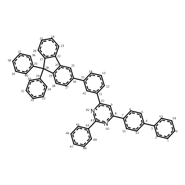 c1ccc(-c2ccc(-c3cc(-c4cccc(-c5ccc6c(c5)-c5ccccc5C6(c5ccccc5)c5ccccc5)c4)nc(-c4ccccc4)n3)cc2)cc1